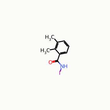 Cc1cccc(C(=O)NI)c1C